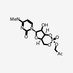 CNc1ccn([C@@H]2O[C@@H]3COP(=O)(OCC(C)=O)O[C@@H]3C2O)c(=O)n1